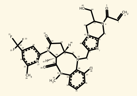 C=CC(=O)N1Cc2nc(CN3C[C@H]4CC(=O)N(c5cc(C(F)(F)F)cc(C)n5)[C@@H]4C(=O)N(C)c4cccc(Cl)c43)cn2CC1CO